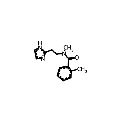 Cc1ccccc1C(=O)N(C)CCc1ncc[nH]1